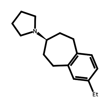 CCc1ccc2c(c1)CC[C@@H](N1CCCC1)CC2